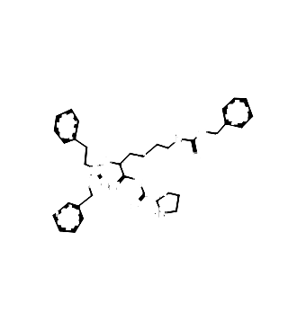 O=C(NCCCCC(OP(=O)(CCc1ccccc1)OCc1ccccc1)C(=O)OC(=O)[C@@H]1CCCN1)OCc1ccccc1